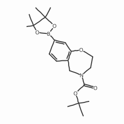 CC(C)(C)OC(=O)N1CCOc2cc(B3OC(C)(C)C(C)(C)O3)ccc2C1